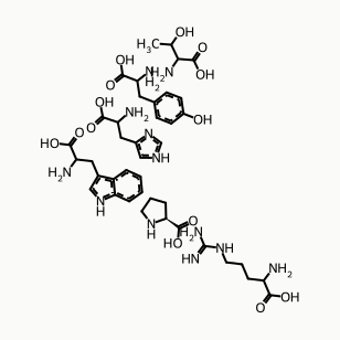 CC(O)C(N)C(=O)O.N=C(N)NCCCC(N)C(=O)O.NC(Cc1c[nH]c2ccccc12)C(=O)O.NC(Cc1c[nH]cn1)C(=O)O.NC(Cc1ccc(O)cc1)C(=O)O.O=C(O)[C@@H]1CCCN1